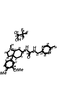 COc1ccc(C23CCC(NC(=O)NCc4cnc(C)cn4)CC2N(C)CC3)cc1OC.O=C(O)C(F)(F)F